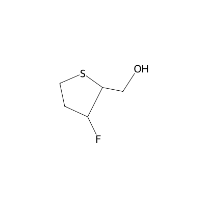 OCC1SCCC1F